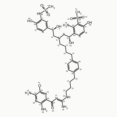 CS(=O)(=O)Nc1cc([C@@H](O)CN(CCCCc2ccc(CCCCNC(N)=NC(=O)c3nc(Cl)c(N)nc3N)cc2)C[C@H](O)c2ccc(O)c(S(C)(=O)=O)c2N)ccc1O